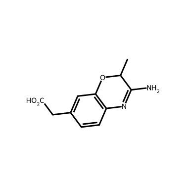 CC1Oc2cc(CC(=O)O)ccc2N=C1N